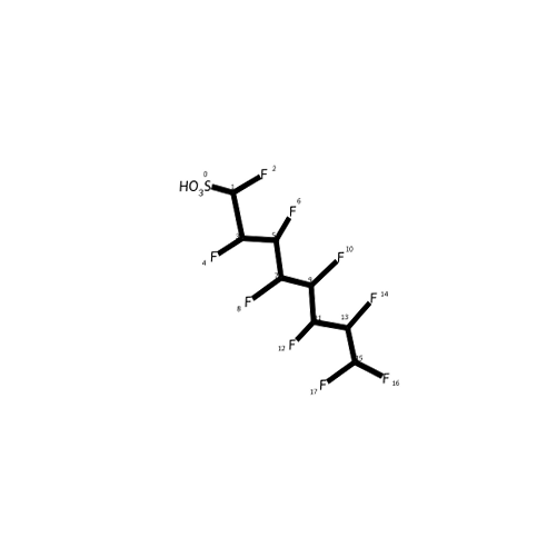 O=S(=O)(O)C(F)C(F)C(F)C(F)C(F)C(F)C(F)C(F)F